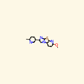 COc1ccc2c(n1)sc1nc(-c3ccc(C)nc3)cn12